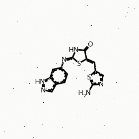 Nc1ncc(C=C2SC(=Nc3ccc4cn[nH]c4c3)NC2=O)s1